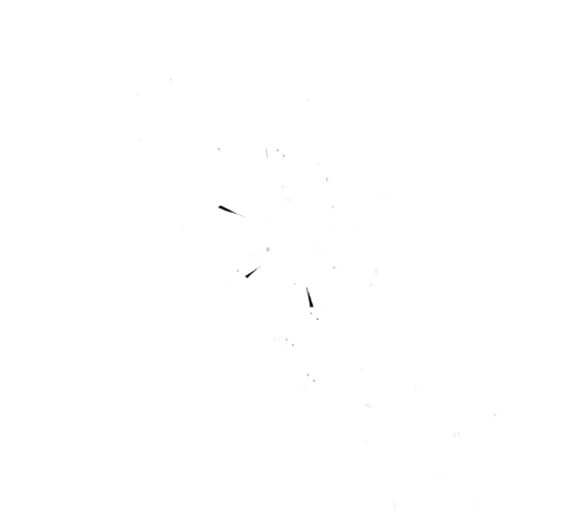 Cc1ccc2ccccc2c1C(=O)N[C@@H]1CCO[C@]12O[C@H](CO)[C@H](O)[C@H](n1cc(-c3cc(F)c(F)c(F)c3)nn1)[C@H]2O